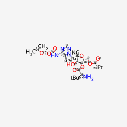 C=C(C)OCOC(=O)Nc1ncnn2c([C@]3(C#N)O[C@H](COC(=O)C(C)C)[C@@H](OC(=O)[C@@H](N)C(C)(C)C)[C@H]3O)ccc12